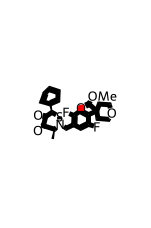 COC(=O)C1(c2cc(F)c(CN3S[C@H](c4ccccc4)C(=O)C(=O)[C@@H]3C)cc2F)CCOCC1